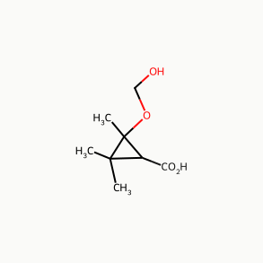 CC1(C)C(C(=O)O)C1(C)OCO